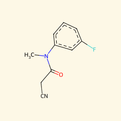 CN(C(=O)CC#N)c1cccc(F)c1